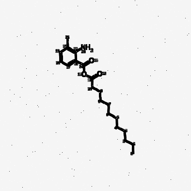 CCCCCCCCCCCC(=O)OC(=O)c1cccc(C)c1N